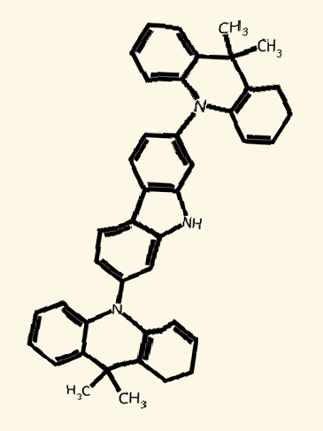 CC1(C)C2=C(C=CCC2)N(c2ccc3c(c2)[nH]c2cc(N4C5=C(CCC=C5)C(C)(C)c5ccccc54)ccc23)c2ccccc21